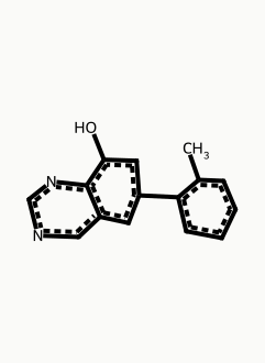 Cc1ccccc1-c1cc(O)c2ncncc2c1